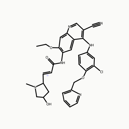 CCOc1cc2ncc(C#N)c(Nc3ccc(OCc4ccccn4)c(Cl)c3)c2cc1NC(=O)/C=C/C1CC(O)CN1C